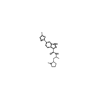 Cc1cnc(-c2ccc3c(C(=O)NC(C)CC4CCCN4C)n[nH]c3c2)s1